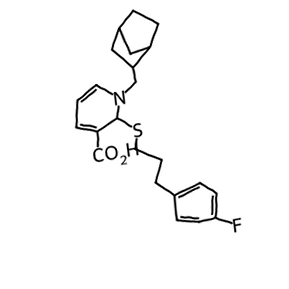 O=C(O)C1=CC=CN(CC2CC3CCC2C3)C1SCCCc1ccc(F)cc1